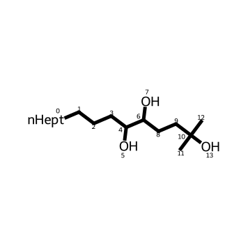 CCCCCCCCCCC(O)C(O)CCC(C)(C)O